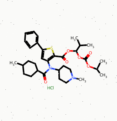 CC1CCC(C(=O)N(c2cc(-c3ccccc3)sc2C(=O)OC(OC(=O)OC(C)C)C(C)C)C2CCN(C)CC2)CC1.Cl